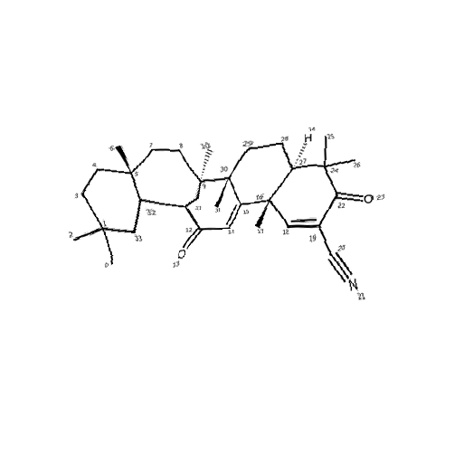 CC1(C)CC[C@]2(C)CC[C@]3(C)C(C(=O)C=C4[C@@]5(C)C=C(C#N)C(=O)C(C)(C)[C@@H]5CC[C@]43C)C2C1